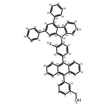 OCc1cccc(-c2c3ccccc3c(-c3ccc(-n4c5cnccc5c5c(-c6ccccc6)cc(-c6ccccc6)cc54)c(F)c3)c3ccccc23)c1